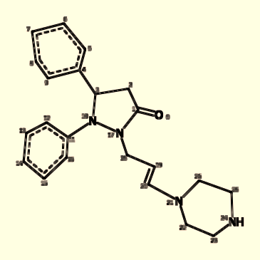 O=C1CC(c2ccccc2)N(c2ccccc2)N1CC=CN1CCNCC1